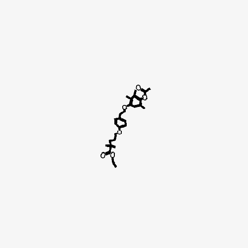 CCOC(=O)C(C)(C)CCCOc1ccc(CCOc2cc(C)c(OC(C)=O)c(C)c2C)cc1